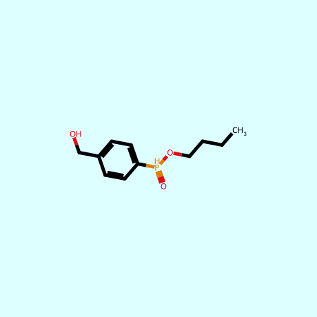 CCCCO[PH](=O)c1ccc(CO)cc1